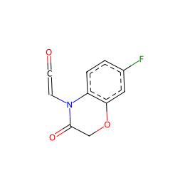 O=C=CN1C(=O)COc2cc(F)ccc21